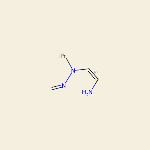 C=NN(/C=C\N)C(C)C